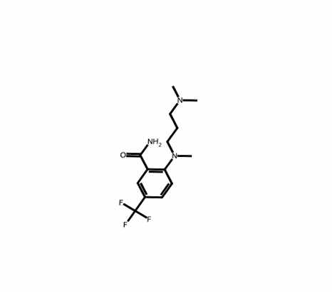 CN(C)CCCN(C)c1ccc(C(F)(F)F)cc1C(N)=O